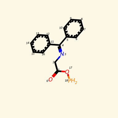 O=C(CN=C(c1ccccc1)c1ccccc1)OP